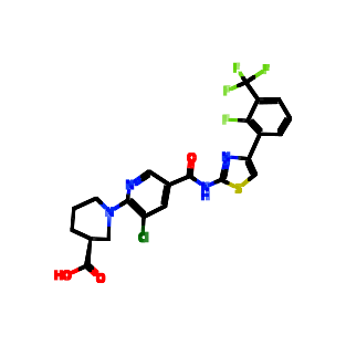 O=C(Nc1nc(-c2cccc(C(F)(F)F)c2F)cs1)c1cnc(N2CCC[C@H](C(=O)O)C2)c(Cl)c1